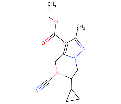 CCOC(=O)c1c(C)nn2c1CB(C#N)C(C1CC1)C2